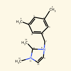 Cc1cc(C)cc(CN2C=CN(C)C2C)c1